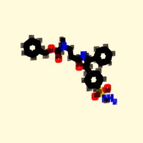 CN(CCc1nc(-c2ccccc2)c(-c2ccc(S(N)(=O)=O)cc2)o1)C(=O)OCc1ccccc1